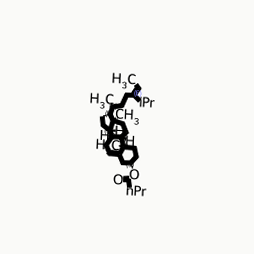 C/C=C(\CC[C@@H](C)[C@H]1CC[C@H]2[C@@H]3CC=C4C[C@@H](OC(=O)CCC)CC[C@]4(C)[C@H]3CC[C@]12C)C(C)C